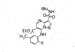 CCOC(=O)c1cnc2c(S(=O)(=O)NC(C)(C)C)cnn2c1Nc1cc(C)ccc1F